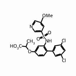 COc1cncc(S(=O)(=O)Nc2cc(OC(C)C(=O)O)ccc2-c2cc(Cl)cc(Cl)c2)c1